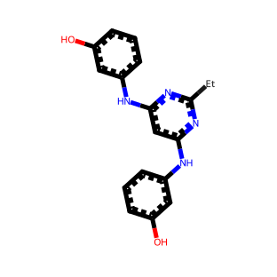 CCc1nc(Nc2cccc(O)c2)cc(Nc2cccc(O)c2)n1